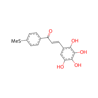 CSc1ccc(C(=O)/C=C/c2cc(O)c(O)c(O)c2O)cc1